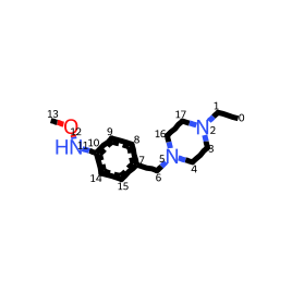 CCN1CCN(Cc2ccc(NOC)cc2)CC1